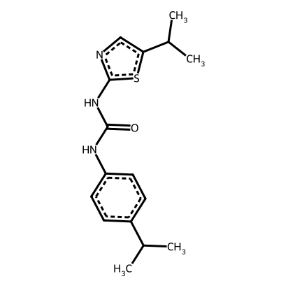 CC(C)c1ccc(NC(=O)Nc2ncc(C(C)C)s2)cc1